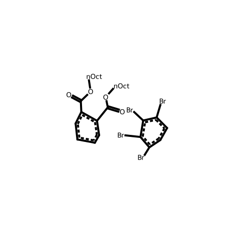 Brc1ccc(Br)c(Br)c1Br.CCCCCCCCOC(=O)c1ccccc1C(=O)OCCCCCCCC